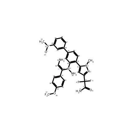 Cn1nc(C(F)(F)C(N)=O)cc1-c1ccc(-c2cccc([S+](C)[O-])c2)cc1N(N)/C(=C\N)c1ccc(OC(F)(F)F)cc1